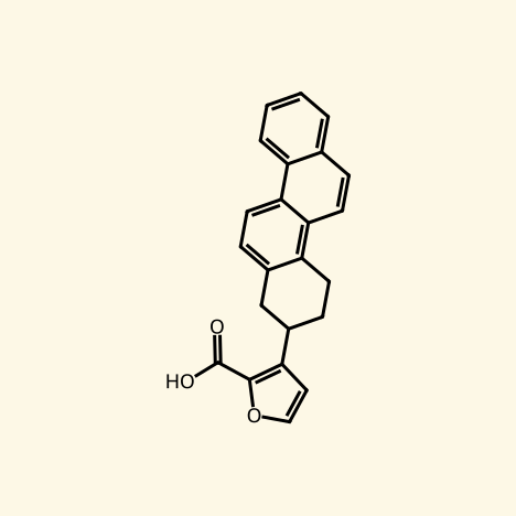 O=C(O)c1occc1C1CCc2c(ccc3c2ccc2ccccc23)C1